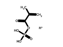 C=C(C)C(=O)OP(=O)(O)O.[H+]